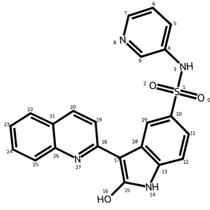 O=S(=O)(Nc1cccnc1)c1ccc2[nH]c(O)c(-c3ccc4ccccc4n3)c2c1